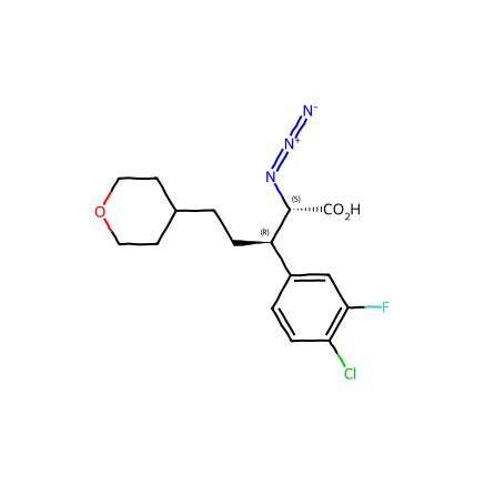 [N-]=[N+]=N[C@H](C(=O)O)[C@H](CCC1CCOCC1)c1ccc(Cl)c(F)c1